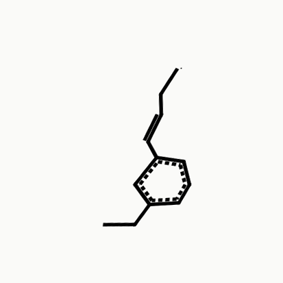 [CH2]C/C=C/c1cccc(CC)c1